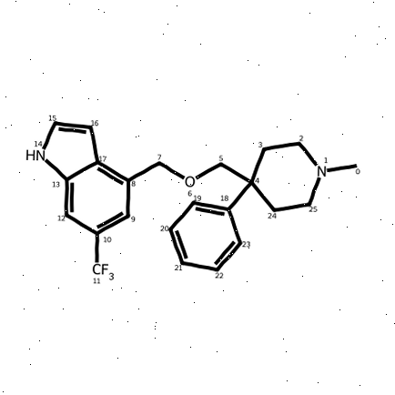 CN1CCC(COCc2cc(C(F)(F)F)cc3[nH]ccc23)(c2ccccc2)CC1